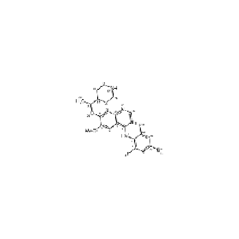 COc1cc2c(Nc3c(F)cc(Br)cc3F)ncnc2cc1OC(C)C1CCNCC1